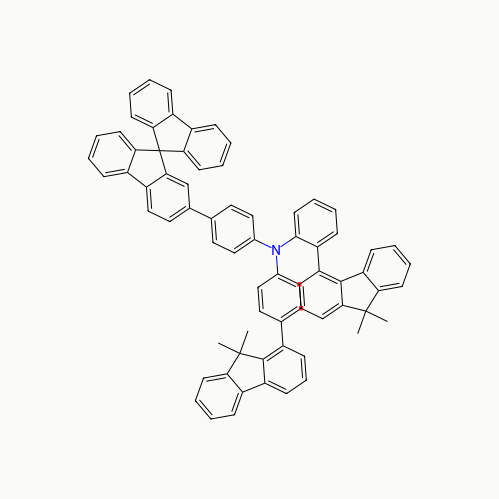 CC1(C)c2ccccc2-c2c(-c3ccccc3N(c3ccc(-c4ccc5c(c4)C4(c6ccccc6-c6ccccc64)c4ccccc4-5)cc3)c3ccc(-c4cccc5c4C(C)(C)c4ccccc4-5)cc3)cccc21